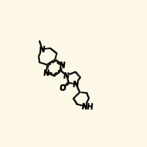 CN1CCc2ncc(N3CCN(C4CCNCC4)C3=O)nc2CC1